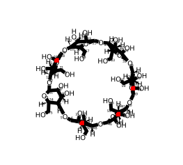 C[C@@H]1C(O)C2O[C@H]3[C@H](O)C(O)C(O[C@H]4[C@H](O)C(O)C(O[C@H]5[C@H](O)C(O)C(O[C@H]6[C@H](O)C(O)C(O[C@H]7[C@H](O)C(O)C(O[C@H]8[C@H](O)C(O)C(O[C@@H]1[C@@H](CO)O2)O[C@@H]8CO)O[C@@H]7CO)O[C@@H]6CO)O[C@@H]5CO)O[C@@H]4CO)O[C@@H]3CO